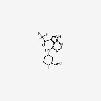 CC1CCC(Nc2ncnc3[nH]cc(C(=O)C(F)(F)F)c23)CN1C=O